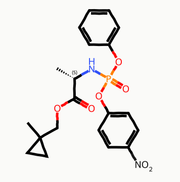 C[C@H](NP(=O)(Oc1ccccc1)Oc1ccc([N+](=O)[O-])cc1)C(=O)OCC1(C)CC1